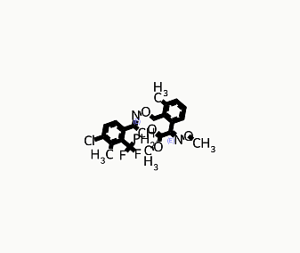 CO/N=C(/C(=O)OC)c1cccc(C)c1CO/N=C(\C)c1ccc(Cl)c(C)c1C(F)(F)P